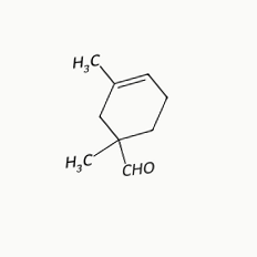 CC1=CCCC(C)(C=O)C1